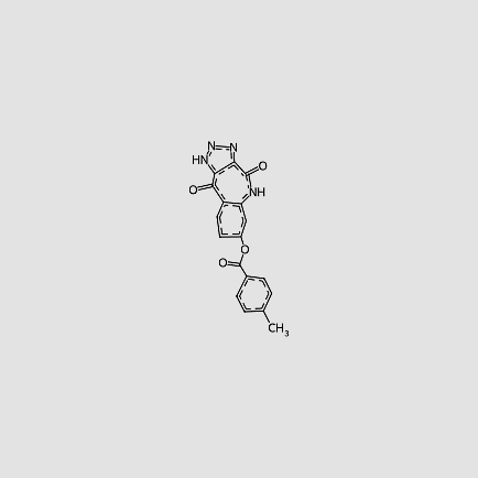 Cc1ccc(C(=O)Oc2ccc3c(=O)c4[nH]nnc4c(=O)[nH]c3c2)cc1